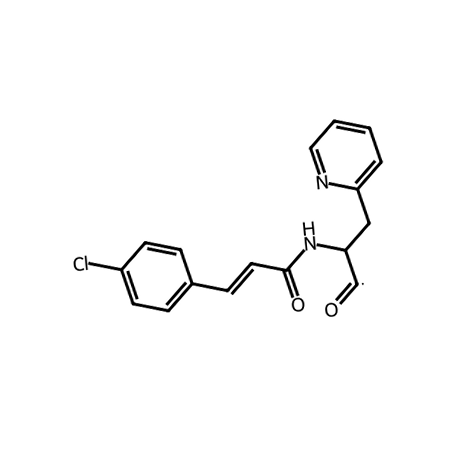 O=[C]C(Cc1ccccn1)NC(=O)/C=C/c1ccc(Cl)cc1